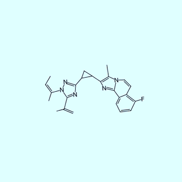 C=C(C)c1nc(C2CC2c2nc3c4cccc(F)c4ccn3c2C)nn1/C(C)=C\C